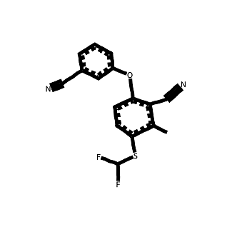 Cc1c(SC(F)F)ccc(Oc2cccc(C#N)c2)c1C#N